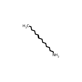 CCCCC/C=C/CCCCCCCN